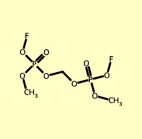 COP(=O)(OF)OCOP(=O)(OC)OF